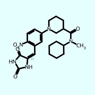 CN(C(=O)C1CCCN(c2ccc([N+](=O)[O-])c(/C=C3/NC(=O)NC3=O)c2)C1)C1CCCCC1